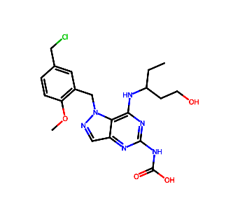 CCC(CCO)Nc1nc(NC(=O)O)nc2cnn(Cc3cc(CCl)ccc3OC)c12